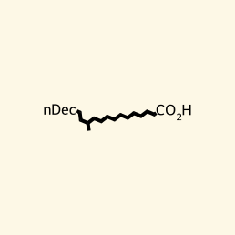 CCCCCCCCCCCCC(C)CCCCCCCCCCC(=O)O